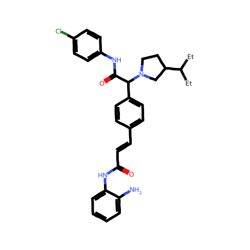 CCC(CC)C1CCN(C(C(=O)Nc2ccc(Cl)cc2)c2ccc(C=CC(=O)Nc3ccccc3N)cc2)C1